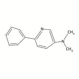 CN(C)c1ccc(-c2cc[c]cc2)nc1